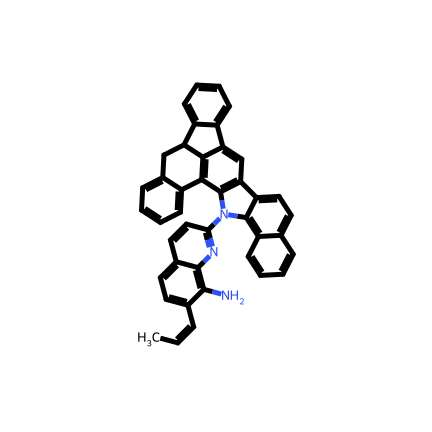 C/C=C\c1ccc2ccc(-n3c4c5c6c(cc4c4ccc7ccccc7c43)-c3ccccc3C6Cc3ccccc3-5)nc2c1N